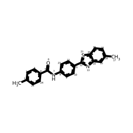 Cc1ccc(C(=O)Nc2ccc(-c3nc4cc(C)ccc4s3)cc2)cc1